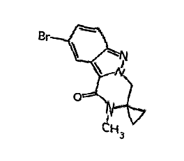 CN1C(=O)c2c3cc(Br)ccc3nn2CC12CC2